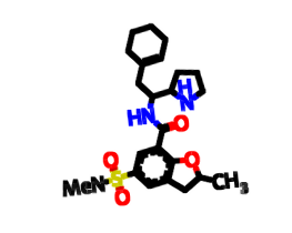 CNS(=O)(=O)c1cc2c(c(C(=O)NC(CC3=CCCCC3)C3CCCN3)c1)OC(C)C2